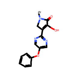 CC(C)N1CC(c2ncc(Oc3ccccc3)cn2)=C(O)C1=O